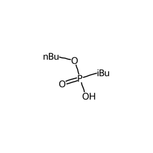 CCCCOP(=O)(O)C(C)CC